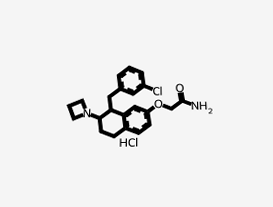 Cl.NC(=O)COc1ccc2c(c1)C(Cc1cccc(Cl)c1)C(N1CCC1)CC2